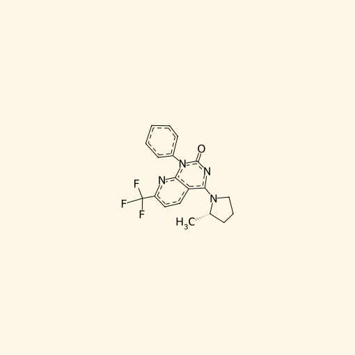 C[C@H]1CCCN1c1nc(=O)n(-c2ccccc2)c2nc(C(F)(F)F)ccc12